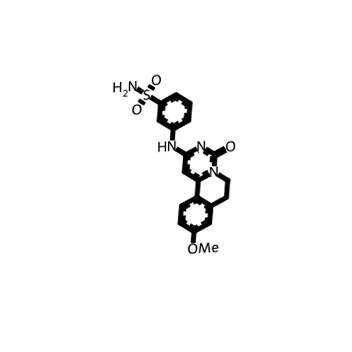 COc1ccc2c(c1)CCn1c-2cc(Nc2cccc(S(N)(=O)=O)c2)nc1=O